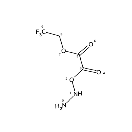 NNOC(=O)C(=O)OCC(F)(F)F